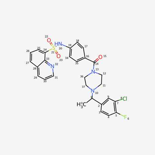 CC(c1ccc(F)c(Cl)c1)N1CCN(C(=O)c2ccc(NS(=O)(=O)c3cccc4cccnc34)cc2)CC1